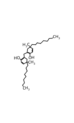 CCCCCCCCCC1(C)C=CC(O)=C(CC2=C(O)C=CC(C)(CCCCCCCCC)C2)C1